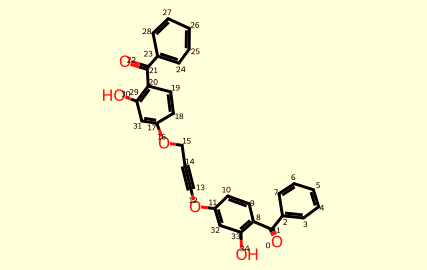 O=C(c1ccccc1)c1ccc(OC#CCOc2ccc(C(=O)c3ccccc3)c(O)c2)cc1O